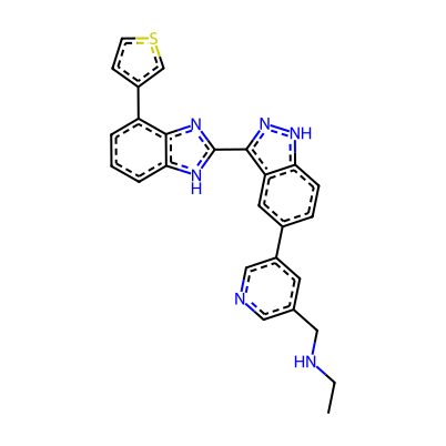 CCNCc1cncc(-c2ccc3[nH]nc(-c4nc5c(-c6ccsc6)cccc5[nH]4)c3c2)c1